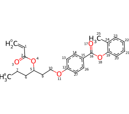 C=CC(=O)OC(CCC)CCOc1ccc(C(=O)Oc2ccccc2C)cc1